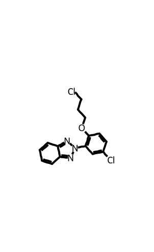 ClCCCOc1ccc(Cl)cc1-n1nc2ccccc2n1